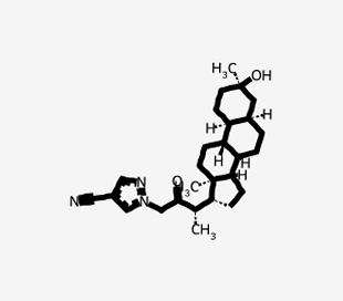 C[C@H](C(=O)Cn1cc(C#N)cn1)[C@H]1CC[C@H]2[C@@H]3CC[C@@H]4C[C@](C)(O)CC[C@@H]4[C@H]3CC[C@]12C